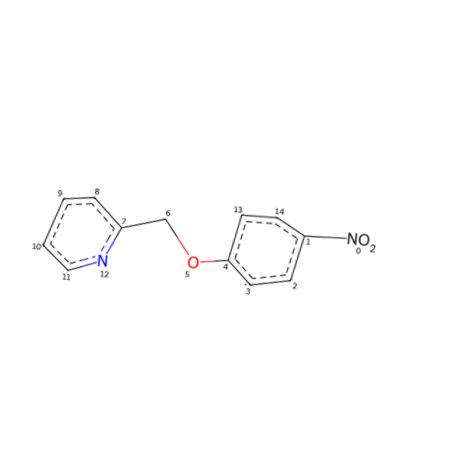 O=[N+]([O-])c1c[c]c(OCc2ccccn2)cc1